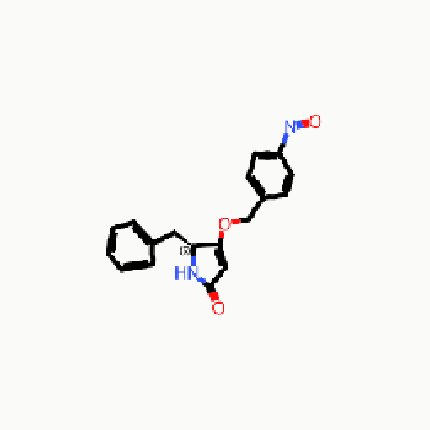 O=Nc1ccc(COC2=CC(=O)N[C@H]2Cc2ccccc2)cc1